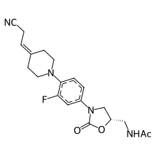 CC(=O)NC[C@H]1CN(c2ccc(N3CCC(=CCC#N)CC3)c(F)c2)C(=O)O1